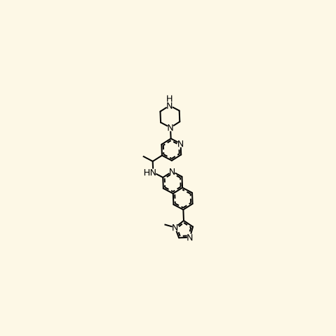 CC(Nc1cc2cc(-c3cncn3C)ccc2cn1)c1ccnc(N2CCNCC2)c1